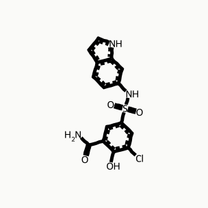 NC(=O)c1cc(S(=O)(=O)Nc2ccc3cc[nH]c3c2)cc(Cl)c1O